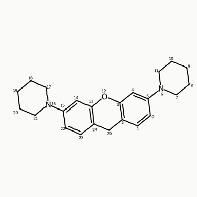 c1cc2c(cc1N1CCCCC1)Oc1cc(N3CCCCC3)ccc1C2